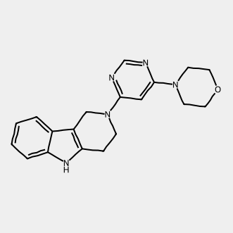 c1ccc2c3c([nH]c2c1)CCN(c1cc(N2CCOCC2)ncn1)C3